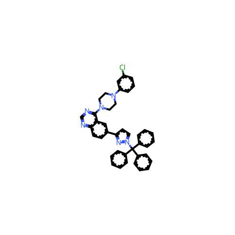 Clc1cccc(N2CCN(c3ncnc4ccc(-c5ccn(C(c6ccccc6)(c6ccccc6)c6ccccc6)n5)cc34)CC2)c1